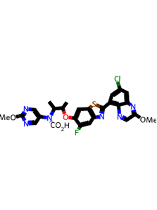 COc1cnc2c(-c3nc4cc(F)c(OC(C)C(C)N(C(=O)O)c5cnc(OC)nc5)cc4s3)cc(Cl)cc2n1